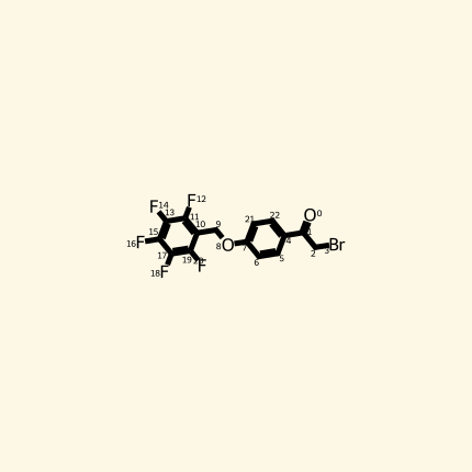 O=C(CBr)c1ccc(OCc2c(F)c(F)c(F)c(F)c2F)cc1